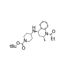 CCC(=O)N1c2ccccc2[C@H](NC2CCN(C(=O)OC(C)(C)C)CC2)C[C@@H]1C